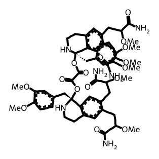 COc1ccc(C[C@]2(OC(=O)C(=O)O[C@@]3(Cc4ccc(OC)c(OC)c4)NCCc4cc(CC(OC)C(N)=O)c(CC(OC)C(N)=O)cc43)NCCc3cc(CC(OC)C(N)=O)c(CC(OC)C(N)=O)cc32)cc1OC